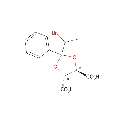 CC(Br)C1(c2ccccc2)O[C@@H](C(=O)O)[C@H](C(=O)O)O1